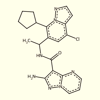 CC(NC(=O)c1c(N)nn2cccnc12)c1cc(Cl)c2ccnn2c1C1CCCC1